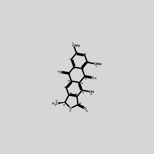 COc1cc(OC)c2c(c1)C(=O)c1cc3c(c(O)c1C2=O)C(=O)O[C@H]3C